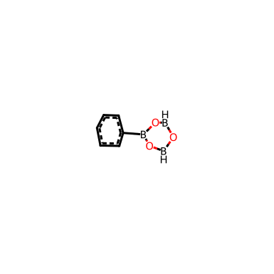 B1OBOB(c2ccccc2)O1